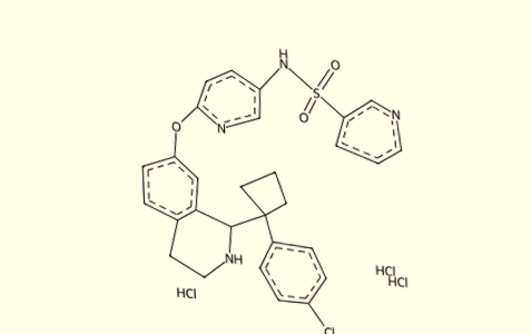 Cl.Cl.Cl.O=S(=O)(Nc1ccc(Oc2ccc3c(c2)C(C2(c4ccc(Cl)cc4)CCC2)NCC3)nc1)c1cccnc1